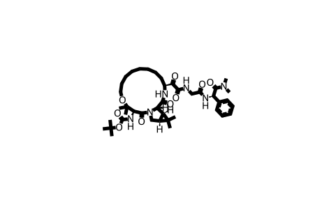 CN(C)C(=O)[C@@H](NC(=O)CNC(=O)C(=O)[C@@H]1CCCCCCCCOC(C)(C)[C@H](NC(=O)OC(C)(C)C)C(=O)N2C[C@H]3[C@@H]([C@H]2C(=O)N1)C3(C)C)c1ccccc1